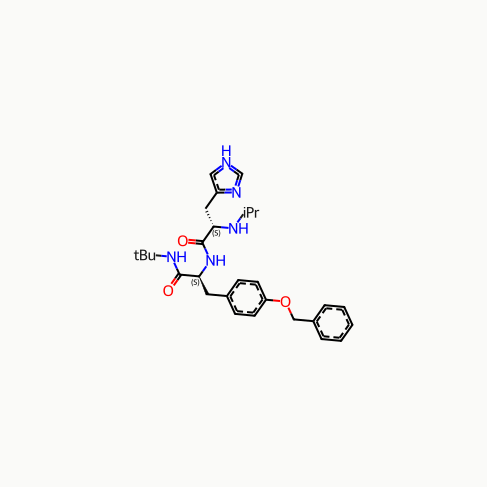 CC(C)N[C@@H](Cc1c[nH]cn1)C(=O)N[C@@H](Cc1ccc(OCc2ccccc2)cc1)C(=O)NC(C)(C)C